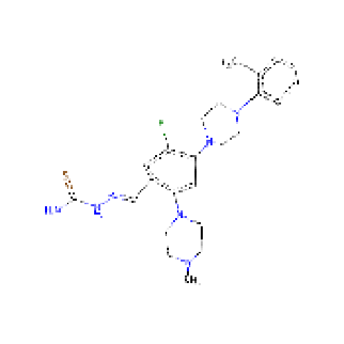 CN1CCN(c2cc(N3CCN(c4ccccc4C(F)(F)F)CC3)c(F)cc2C=NNC(N)=S)CC1